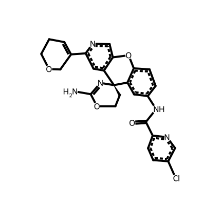 NC1=N[C@@]2(CCO1)c1cc(NC(=O)c3ccc(Cl)cn3)ccc1Oc1cnc(C3=CCCOC3)cc12